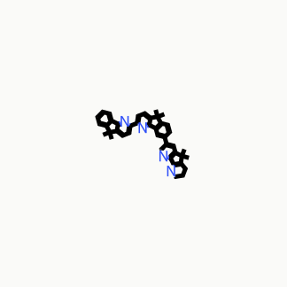 CC1(C)C2=C(N=CCC2)c2ncc(-c3ccc4c(c3)-c3nc(-c5ccc6c(n5)-c5ccccc5C6(C)C)ccc3C4(C)C)cc21